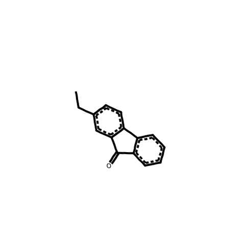 CCc1ccc2c(c1)C(=O)c1ccccc1-2